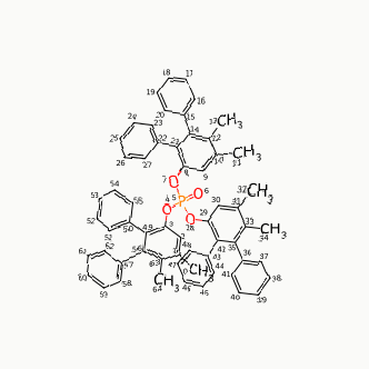 Cc1cc(OP(=O)(Oc2cc(C)c(C)c(-c3ccccc3)c2-c2ccccc2)Oc2cc(C)c(C)c(-c3ccccc3)c2-c2ccccc2)c(-c2ccccc2)c(-c2ccccc2)c1C